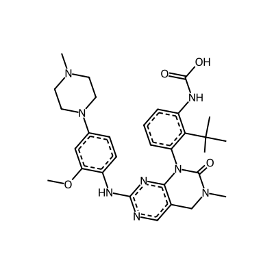 COc1cc(N2CCN(C)CC2)ccc1Nc1ncc2c(n1)N(c1cccc(NC(=O)O)c1C(C)(C)C)C(=O)N(C)C2